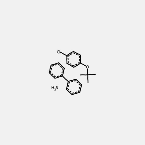 CC(C)(C)Oc1ccc(Cl)cc1.S.c1ccc(-c2ccccc2)cc1